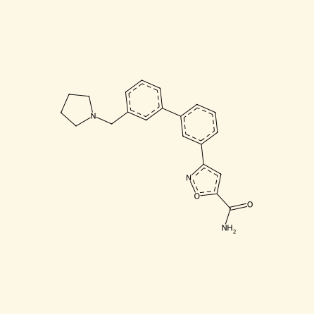 NC(=O)c1cc(-c2cccc(-c3cccc(CN4CCCC4)c3)c2)no1